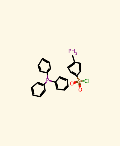 Cc1ccc(S(=O)(=O)Cl)cc1.P.c1ccc(P(c2ccccc2)c2ccccc2)cc1